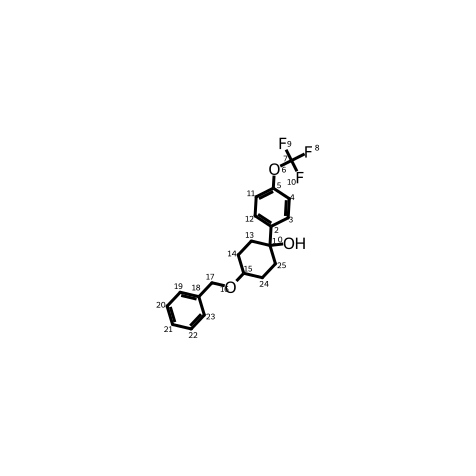 OC1(c2ccc(OC(F)(F)F)cc2)CCC(OCc2ccccc2)CC1